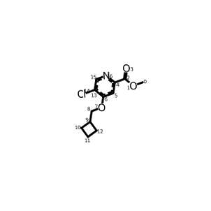 COC(=O)c1cc(OCC2CCC2)c(Cl)cn1